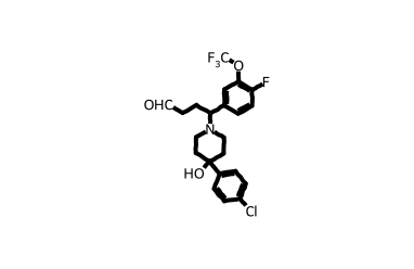 O=CCCC(c1ccc(F)c(OC(F)(F)F)c1)N1CCC(O)(c2ccc(Cl)cc2)CC1